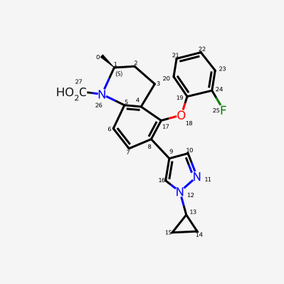 C[C@H]1CCc2c(ccc(-c3cnn(C4CC4)c3)c2Oc2ccccc2F)N1C(=O)O